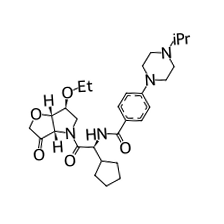 CCO[C@H]1CN(C(=O)[C@@H](NC(=O)c2ccc(N3CCN(C(C)C)CC3)cc2)C2CCCC2)[C@@H]2C(=O)CO[C@H]12